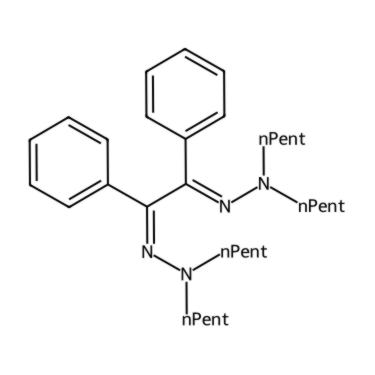 CCCCCN(CCCCC)N=C(C(=NN(CCCCC)CCCCC)c1ccccc1)c1ccccc1